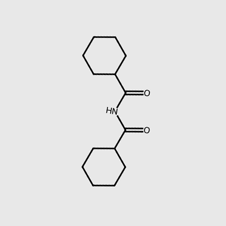 O=C(NC(=O)C1CCCCC1)C1CCCCC1